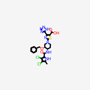 Cc1[nH]c(C(=O)N[C@@H]2CCN(c3nc(-c4nnn[nH]4)c(C(=O)O)s3)C[C@@H]2OCc2ccccc2)c(Cl)c1Cl